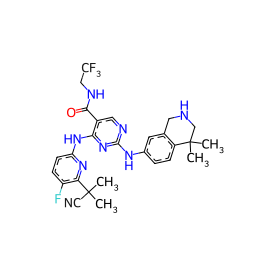 CC(C)(C#N)c1nc(Nc2nc(Nc3ccc4c(c3)CNCC4(C)C)ncc2C(=O)NCC(F)(F)F)ccc1F